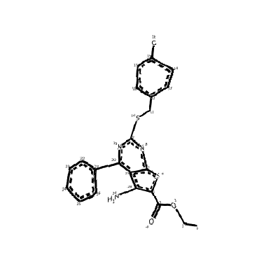 CCOC(=O)c1sc2nc(SCc3ccc(Cl)cc3)nc(-c3ccccc3)c2c1N